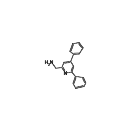 NCc1cc(-c2ccccc2)cc(-c2ccccc2)n1